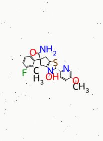 COc1ccc([C@H]2SC3=C(C[C@](C(N)=O)(c4cccc(F)c4C)C3)N2O)nc1